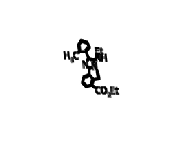 CCNc1c(-c2ccccc2C)nc2c3cccc(C(=O)OCC)c3ccn12